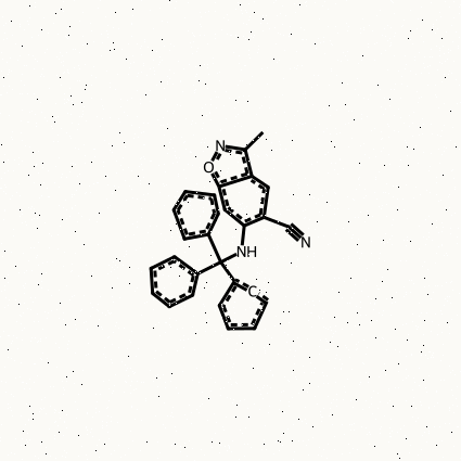 Cc1noc2cc(NC(c3ccccc3)(c3ccccc3)c3ccccc3)c(C#N)cc12